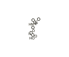 COc1cc2c(Oc3ccc(Nc4nnc(-c5ccccc5)c5ccccc45)cc3)ccnc2cc1O